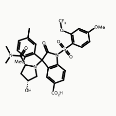 COc1ccc(S(=O)(=O)N2C(=O)C(c3cc(C)ccc3OC)(N3C[C@H](O)C[C@H]3C(=O)N(C)C)c3cc(C(=O)O)ccc32)c(OC(F)(F)F)c1